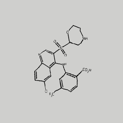 O=C(O)c1ccc(C(F)(F)F)cc1Nc1c(S(=O)(=O)C2CNCCO2)cnc2ccc(Cl)cc12